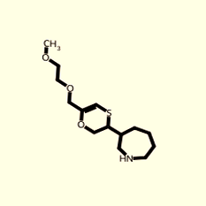 COCCOCC1=CSC(C2CCCCNC2)CO1